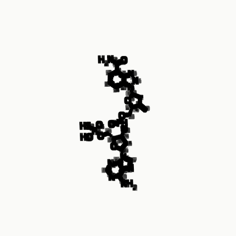 C=C1C[C@H](n2nnc3c(C(N)=O)cccc32)O[C@@H]1CO[PH](=O)O[C@H]1C[C@H](n2cnc3c(N)ncnc32)O[C@@H]1COP(=O)(O)S